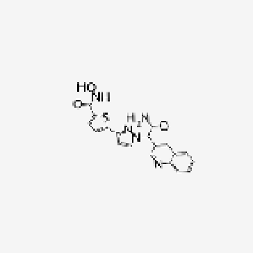 NC(=O)C(c1cnc2ccccc2c1)n1ccc(-c2ccc(C(=O)NO)s2)n1